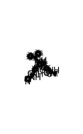 O=C(Nc1cccnc1)N[C@@H]1CCN(c2nc(NCC(c3ccccc3)c3ccccc3)c3ncn([C@@H]4CC(NC(=O)C5CC5)[C@@H](O)[C@H]4O)c3n2)C1